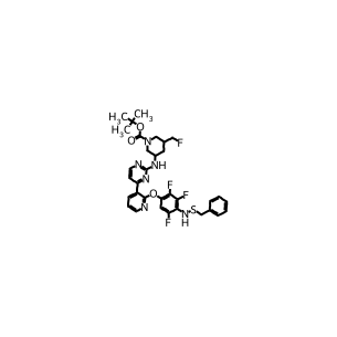 CC(C)(C)OC(=O)N1CC(CF)CC(Nc2nccc(-c3cccnc3Oc3cc(F)c(NSCc4ccccc4)c(F)c3F)n2)C1